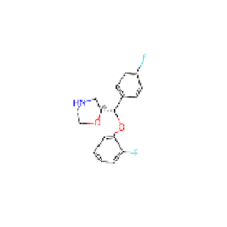 Fc1ccc(C(Oc2ccccc2F)[C@H]2CNCCO2)cc1